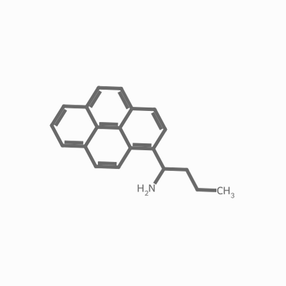 CCCC(N)c1ccc2ccc3cccc4ccc1c2c34